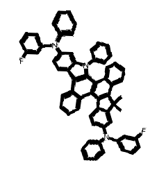 CC1(C)c2cc(N(c3ccccc3)c3cccc(F)c3)ccc2-c2c1c1ccccc1c1c2c2ccccc2c2c3ccc(N(c4ccccc4)c4cccc(F)c4)cc3n(-c3ccccc3)c21